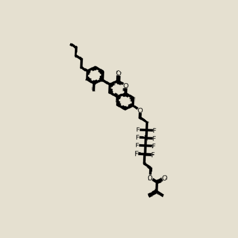 C=C(C)C(=O)OCCC(F)(F)C(F)(F)C(F)(F)C(F)(F)CCOc1ccc2cc(-c3ccc(CCCCC)cc3C)c(=O)oc2c1